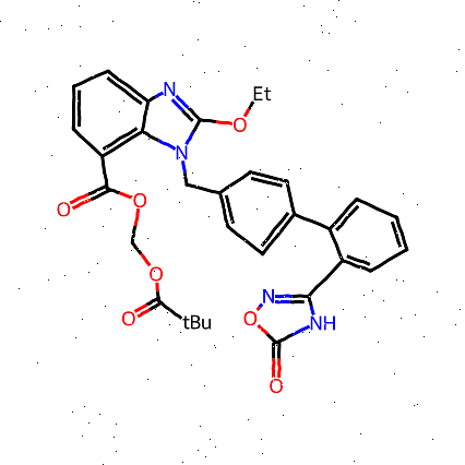 CCOc1nc2cccc(C(=O)OCOC(=O)C(C)(C)C)c2n1Cc1ccc(-c2ccccc2-c2noc(=O)[nH]2)cc1